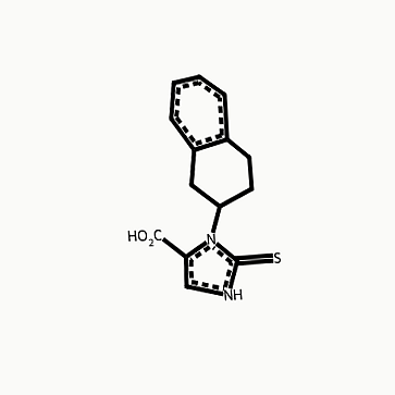 O=C(O)c1c[nH]c(=S)n1C1CCc2ccccc2C1